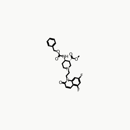 COC(=O)[C@@H]1CN(CCn2c(=O)ccc3c(F)cc(F)cc32)CC[C@H]1NC(=O)OCc1ccccc1